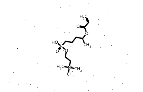 C=CC(=O)OC(C)CCCP(=O)(O)OCC[N+](C)(C)C